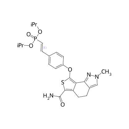 CC(C)OP(=O)(/C=C/c1ccc(Oc2sc(C(N)=O)c3c2-c2nn(C)cc2CC3)cc1)OC(C)C